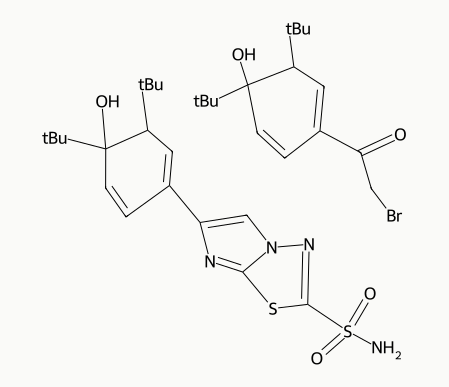 CC(C)(C)C1C=C(C(=O)CBr)C=CC1(O)C(C)(C)C.CC(C)(C)C1C=C(c2cn3nc(S(N)(=O)=O)sc3n2)C=CC1(O)C(C)(C)C